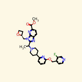 COC(=O)c1ccc2nc(C(C)N3CCC(c4cccc(OCc5ccncc5F)n4)CC3)n(C[C@@H]3CCO3)c2n1